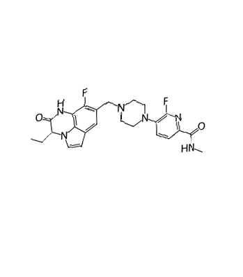 CCC1C(=O)Nc2c(F)c(CN3CCN(c4ccc(C(=O)NC)nc4F)CC3)cc3ccn1c23